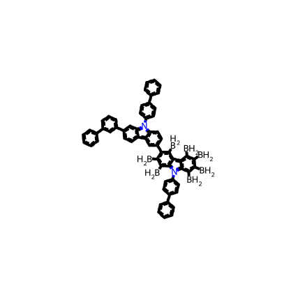 Bc1c(B)c(B)c2c(c1B)c1c(B)c(-c3ccc4c(c3)c3ccc(-c5cccc(-c6ccccc6)c5)cc3n4-c3ccc(-c4ccccc4)cc3)c(B)c(B)c1n2-c1ccc(-c2ccccc2)cc1